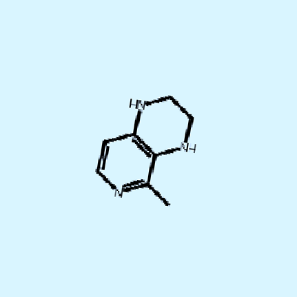 Cc1nccc2c1NCCN2